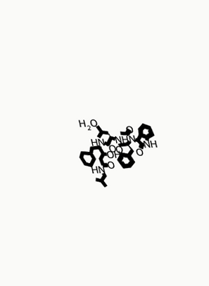 CC(=O)N(C1C(=O)Nc2ccccc21)[C@@H](Cc1ccccc1)C(=O)N[C@@H](CC(C)C)C(=O)NC(CC1CCCCC1)C(O)CC(=O)NCC(C)C.O